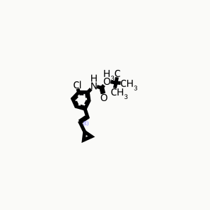 CC(C)(C)OC(=O)Nc1cc(/C=C/C2CC2)ccc1Cl